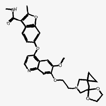 CNC(=O)c1c(C)oc2cc(Oc3ccnc4cc(OCCN5CC6(CC6)C6(C5)OCCO6)c(OC)cc34)ccc12